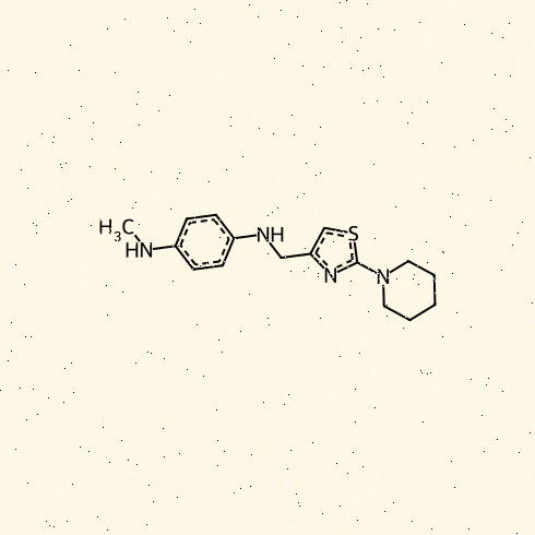 CNc1ccc(NCc2csc(N3CCCCC3)n2)cc1